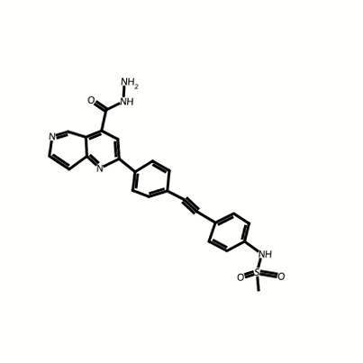 CS(=O)(=O)Nc1ccc(C#Cc2ccc(-c3cc(C(=O)NN)c4cnccc4n3)cc2)cc1